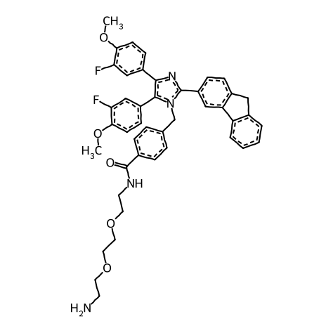 COc1ccc(-c2nc(-c3ccc4c(c3)-c3ccccc3C4)n(Cc3ccc(C(=O)NCCOCCOCCN)cc3)c2-c2ccc(OC)c(F)c2)cc1F